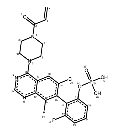 C=CC(=O)N1CCN(c2ncnc3c(F)c(-c4c(F)cccc4OP(=O)(O)O)c(Cl)cc23)CC1